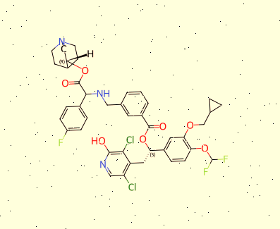 O=C(O[C@@H](Cc1c(Cl)cnc(O)c1Cl)c1ccc(OC(F)F)c(OCC2CC2)c1)c1cccc(CNC(C(=O)O[C@H]2CN3CCC2CC3)c2ccc(F)cc2)c1